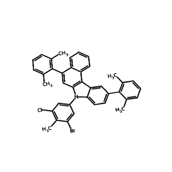 Cc1cccc(C)c1-c1ccc2c(c1)c1c3ccccc3c(-c3c(C)cccc3C)cc1n2-c1cc(Cl)c(C)c(Br)c1